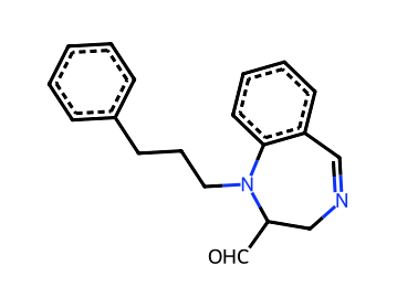 O=CC1CN=Cc2ccccc2N1CCCc1ccccc1